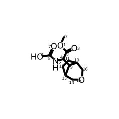 COC(=O)C(NC(=O)O)C1C2CCC1COC2